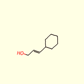 OC/C=C/C1CCCCC1